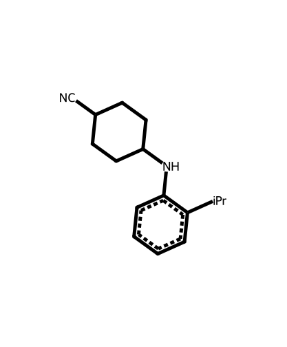 CC(C)c1ccccc1NC1CCC(C#N)CC1